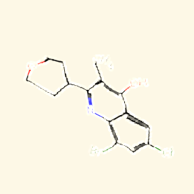 Cc1c(C2CCOCC2)nc2c(Br)cc(Cl)cc2c1O